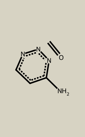 C=O.Nc1ccnnn1